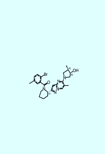 Cc1ccc(Br)c(C(=O)N2CCCC[C@H]2c2cc3nc(N4C[C@@H](C)[C@@H](O)C4)c(C)cn3n2)c1